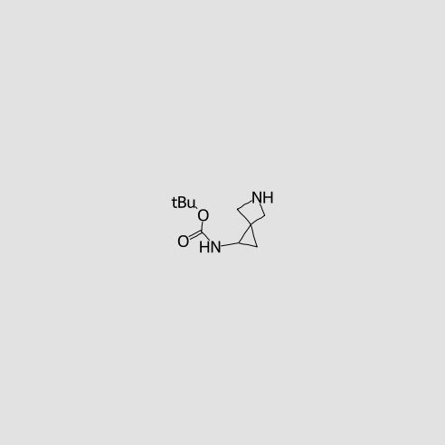 CC(C)(C)OC(=O)NC1CC12CNC2